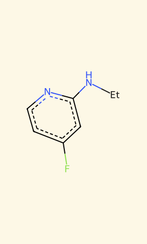 CCNc1cc(F)ccn1